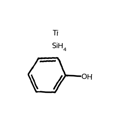 Oc1ccccc1.[SiH4].[Ti]